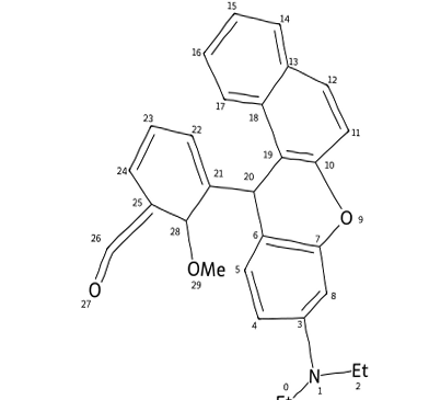 CCN(CC)c1ccc2c(c1)Oc1ccc3ccccc3c1C2C1=CC=CC(=C=O)C1OC